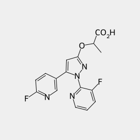 CC(Oc1cc(-c2ccc(F)nc2)n(-c2ncccc2F)n1)C(=O)O